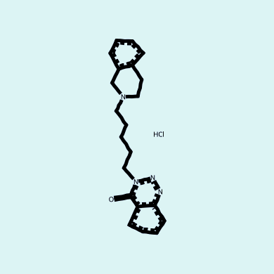 Cl.O=c1c2ccccc2nnn1CCCCCN1CCc2ccccc2C1